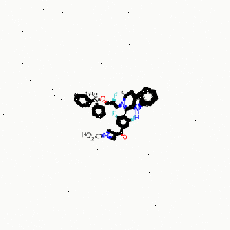 C[C@@H]1Cc2c([nH]c3ccccc23)[C@@H](c2c(F)cc(C(=O)C3CN(C(=O)O)C3)cc2F)N1CC(F)CO[Si](c1ccccc1)(c1ccccc1)C(C)(C)C